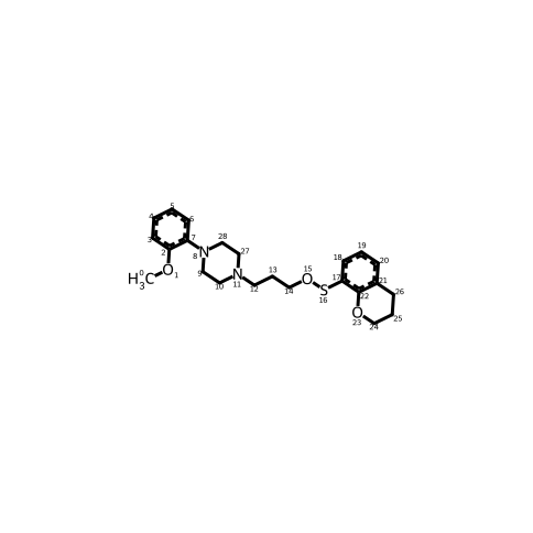 COc1ccccc1N1CCN(CCCOSc2cccc3c2OCCC3)CC1